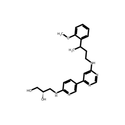 COc1ccccc1C(C)CCNc1cc(-c2ccc(NC[C@H](O)CO)nc2)ncn1